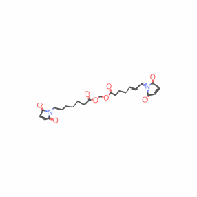 O=C(CCCCCCN1C(=O)C=CC1=O)OCOC(=O)CCCCCCN1C(=O)C=CC1=O